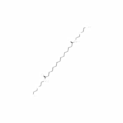 O=C(CCCCCCCCCCCCCC(=O)NCCOCCO)NCCOCCO